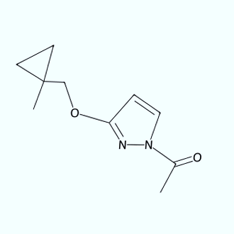 CC(=O)n1ccc(OCC2(C)CC2)n1